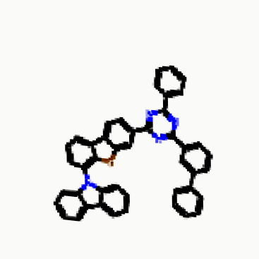 c1ccc(-c2cccc(-c3nc(-c4ccccc4)nc(-c4ccc5c(c4)sc4c(-n6c7ccccc7c7ccccc76)cccc45)n3)c2)cc1